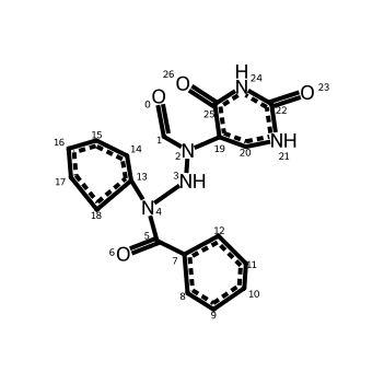 O=CN(NN(C(=O)c1ccccc1)c1ccccc1)c1c[nH]c(=O)[nH]c1=O